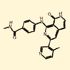 CNC(=O)c1ccc(Nc2nc(-c3cnccc3C)cc3cc[nH]c(=O)c23)cc1